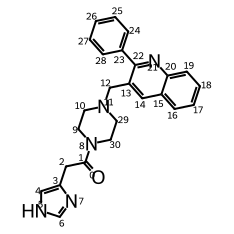 O=C(Cc1c[nH]cn1)N1CCN(Cc2cc3ccccc3nc2-c2ccccc2)CC1